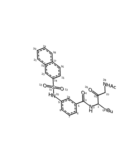 CCCCC(NC(=O)c1cccc(NS(=O)(=O)c2ccc3ccccc3c2)c1)C(=O)CNC(C)=O